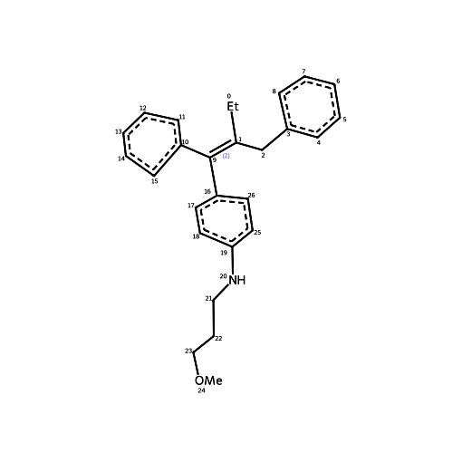 CC/C(Cc1ccccc1)=C(\c1ccccc1)c1ccc(NCCCOC)cc1